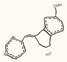 COc1ccc2c(c1)/C(=C/c1ccncc1)CC2.Cl